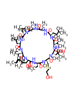 C/C=C/C[C@@H](C)[C@@H](O)[C@H]1C(=O)N[C@H](CC)C(=O)N(C)[C@H](CSCCCO)C(=O)N(C)[C@@H](CC(C)(C)O)C(=O)N[C@H](C(C)C)C(=O)N(C)[C@H](CCC(C)C)C(=O)N[C@H](C)C(=O)N[C@@H](C)C(=O)N(C)[C@@H](CC(C)C)C(=O)N(C)[C@H](CC(C)C)C(=O)N(C)[C@H](C(C)C)C(=O)N1C